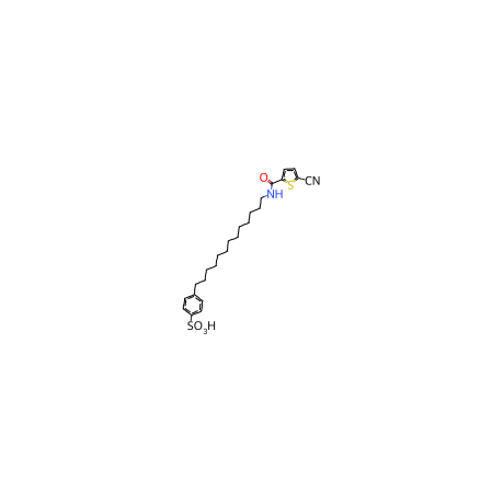 N#Cc1ccc(C(=O)NCCCCCCCCCCCCCc2ccc(S(=O)(=O)O)cc2)s1